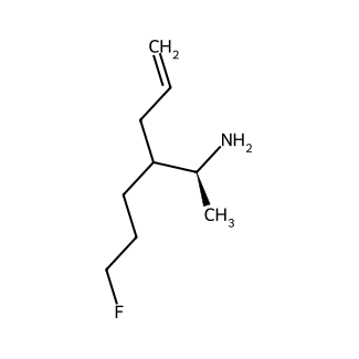 C=CCC(CCCF)[C@H](C)N